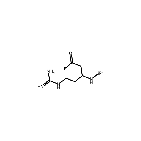 CC(C)NC(CCNC(=N)N)CC(=O)I